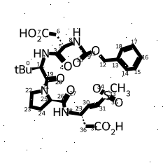 CC(C)(C)[C@@H](NC(=O)[C@H](CC(=O)O)NC(=O)OCc1ccccc1)C(=O)N1CCC[C@@H]1C(=O)N[C@H](/C=C/S(C)(=O)=O)CC(=O)O